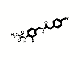 CC(C)c1ccc(CC(=O)NCc2ccc(NS(C)(=O)=O)c(F)c2)cc1